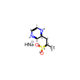 CCC(Cc1cnccn1)=S(=O)=O.[NaH]